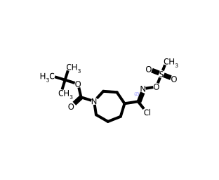 CC(C)(C)OC(=O)N1CCCC(/C(Cl)=N/OS(C)(=O)=O)CC1